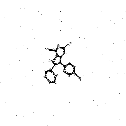 O=c1[nH]c(S)nc2c(-c3ccc(Br)cc3)c(-c3ccccn3)nn12